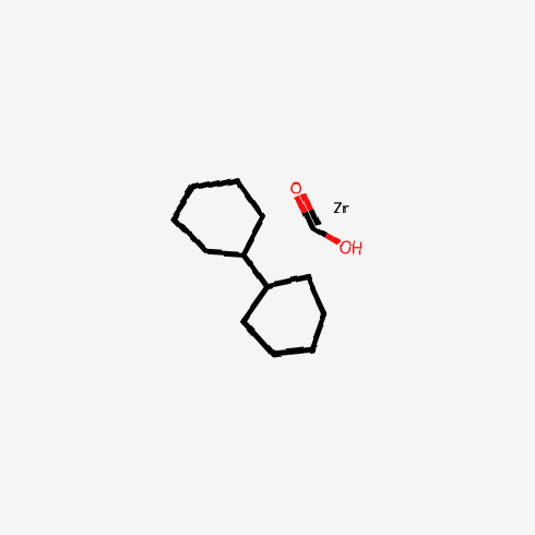 C1CCC(C2CCCCC2)CC1.O=CO.[Zr]